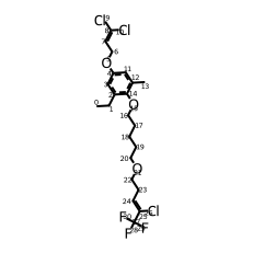 CCc1cc(OCC=C(Cl)Cl)cc(C)c1OCCCCCOCC/C=C(\Cl)C(F)(F)F